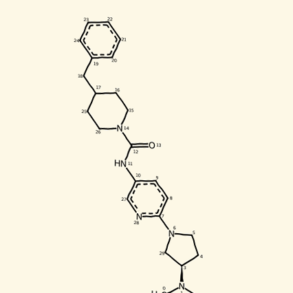 CN(C)[C@@H]1CCN(c2ccc(NC(=O)N3CCC(Cc4ccccc4)CC3)cn2)C1